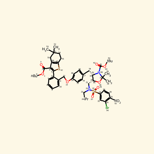 CCCCOC(=O)c1c(-c2ccccc2COc2ccc(C[C@H]3[C@@H](CN(CC(C)C)S(=O)(=O)c4ccc([N+](=O)[O-])c(Br)c4)OC(C)(C)N3C(=O)OC(C)(C)C)cc2)sc2c1CC(C)(C)CC2